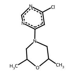 CC1CN(c2cc(Cl)ncn2)CC(C)O1